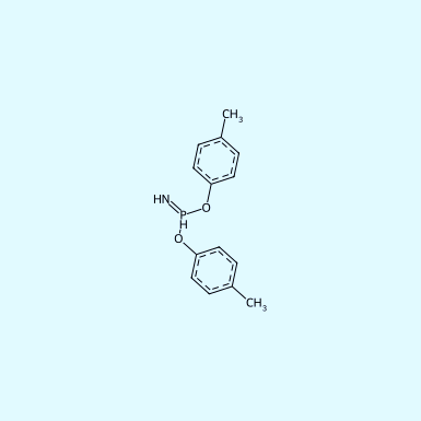 Cc1ccc(O[PH](=N)Oc2ccc(C)cc2)cc1